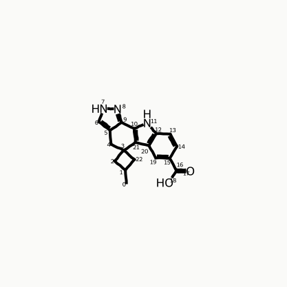 CC1CC2(Cc3c[nH]nc3-c3[nH]c4ccc(C(=O)O)cc4c32)C1